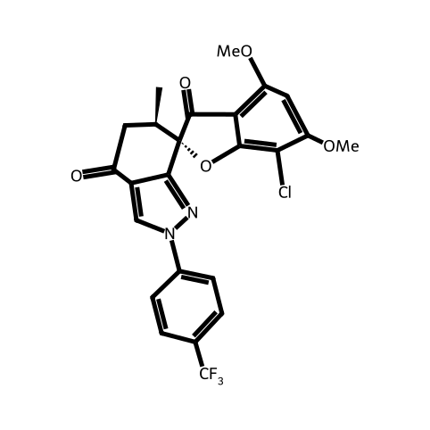 COc1cc(OC)c2c(c1Cl)O[C@]1(C2=O)c2nn(-c3ccc(C(F)(F)F)cc3)cc2C(=O)C[C@H]1C